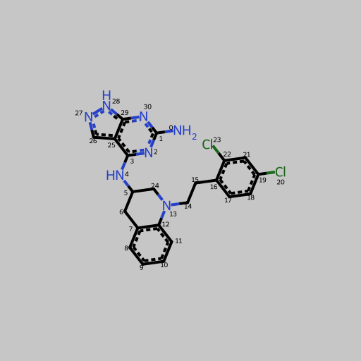 Nc1nc(NC2Cc3ccccc3N(CCc3ccc(Cl)cc3Cl)C2)c2cn[nH]c2n1